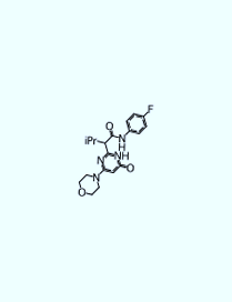 CC(C)C(C(=O)Nc1ccc(F)cc1)c1nc(N2CCOCC2)cc(=O)[nH]1